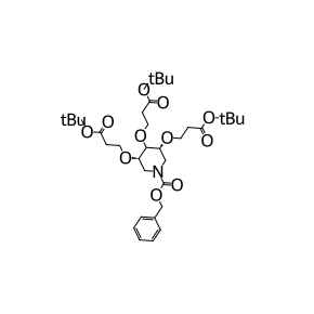 CC(C)(C)OC(=O)CCOC1[C@@H](OCCC(=O)OC(C)(C)C)CN(C(=O)OCc2ccccc2)C[C@H]1OCCC(=O)OC(C)(C)C